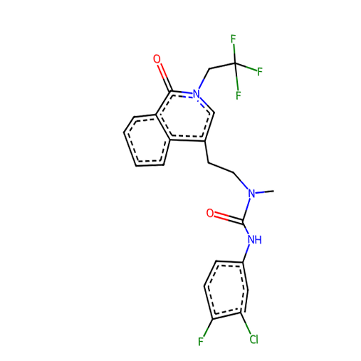 CN(CCc1cn(CC(F)(F)F)c(=O)c2ccccc12)C(=O)Nc1ccc(F)c(Cl)c1